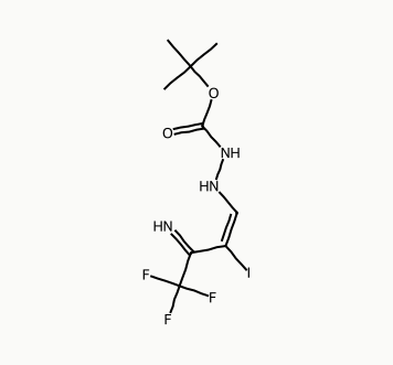 CC(C)(C)OC(=O)NN/C=C(/I)C(=N)C(F)(F)F